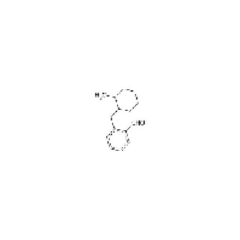 CC1CCCCC1Cc1ccccc1C=O